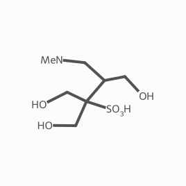 CNCC(CO)C(CO)(CO)S(=O)(=O)O